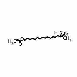 C=CC(=O)OCCCCCCCCCCCCCCC[Si](C)(C)Br